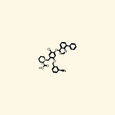 N#Cc1cccc(COc2cc(Oc3ncnc4c(-c5ccccc5)cccc34)c(Cl)cc2CN2CCCC[C@@H]2C(=O)O)c1